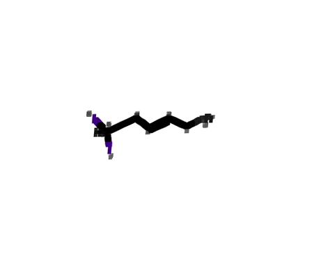 CCCCC=CC[SiH](I)I